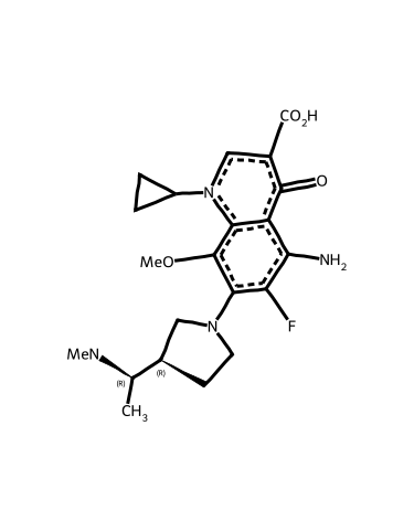 CN[C@H](C)[C@@H]1CCN(c2c(F)c(N)c3c(=O)c(C(=O)O)cn(C4CC4)c3c2OC)C1